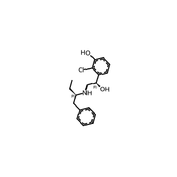 CC[C@H](Cc1ccccc1)NC[C@H](O)c1cccc(O)c1Cl